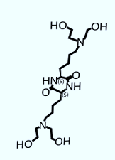 O=C1N[C@@H](CCCCN(CCO)CCO)C(=O)N[C@H]1CCCCN(CCO)CCO